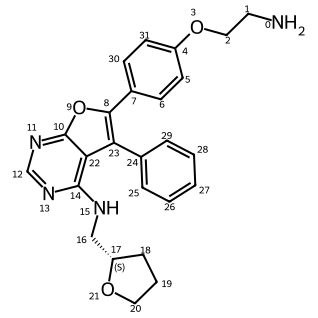 NCCOc1ccc(-c2oc3ncnc(NC[C@@H]4CCCO4)c3c2-c2ccccc2)cc1